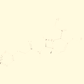 CC(C)(C)OC(=O)C1C(C(=O)O)=CS[C@@H]2C(NC(=O)COc3ccccc3)C(=O)N12